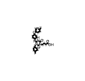 Cc1ccc(Cn2c(=O)n(CCCC(=O)O)c(=O)[nH]/c2=N\c2ccc(Oc3ccc(C)nc3)cc2)cc1